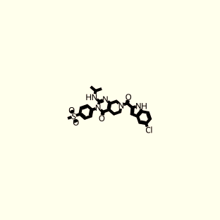 CC(C)Nc1nc2c(c(=O)n1-c1ccc(S(C)(=O)=O)cc1)CCN(C(=O)c1cc3cc(Cl)ccc3[nH]1)C2